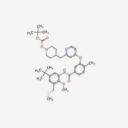 COc1c(CSC)cc(C(C)(C)C)cc1NC(=O)c1ccc(C)c(Oc2ccnc(CC3CCN(OC(=O)OC(C)(C)C)CC3)c2)c1